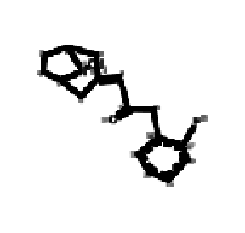 CN1C2CCC1CC(=CC(=O)Cc1ccccc1F)C2